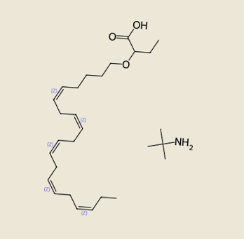 CC(C)(C)N.CC/C=C\C/C=C\C/C=C\C/C=C\C/C=C\CCCCOC(CC)C(=O)O